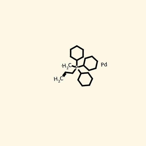 [CH2]P(CC=C)(C1CCCCC1)(C1CCCCC1)C1CCCCC1.[Pd]